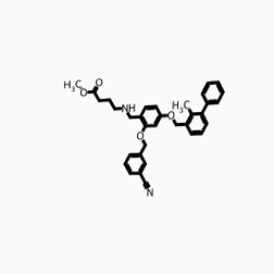 COC(=O)CCCNCc1ccc(OCc2cccc(-c3ccccc3)c2C)cc1OCc1cccc(C#N)c1